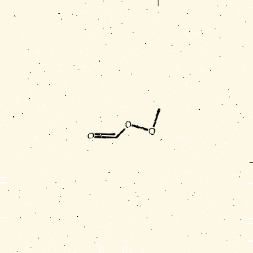 COOC=O